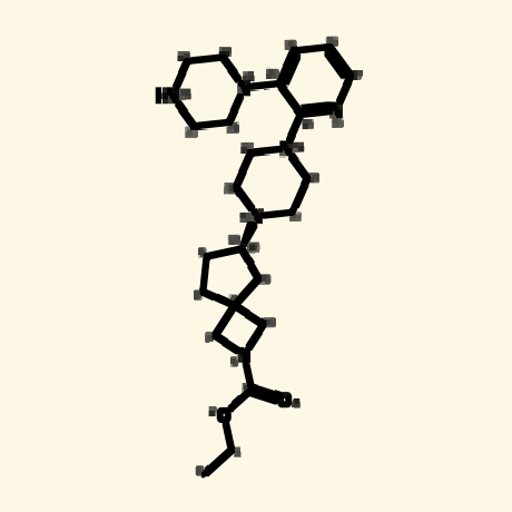 CCOC(=O)N1CC2(CC[C@@H](N3CCN(c4ncccc4N4CCNCC4)CC3)C2)C1